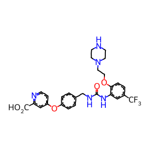 O=C(NCc1ccc(Oc2ccnc(C(=O)O)c2)cc1)Nc1cc(C(F)(F)F)ccc1OCCN1CCNCC1